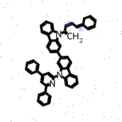 C=C(/C=C\C=C1\C=CC=CC1)n1c2ccccc2c2ccc(-c3ccc4c5ccccc5n(-c5cc(-c6ccccc6)cc(-c6ccccc6)n5)c4c3)cc21